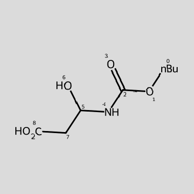 CCCCOC(=O)NC(O)CC(=O)O